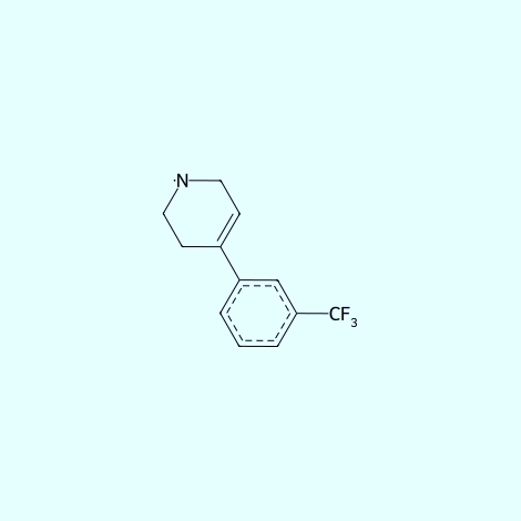 FC(F)(F)c1cccc(C2=CC[N]CC2)c1